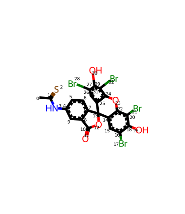 CC(=S)Nc1ccc2c(c1)C(=O)OC21c2cc(Br)c(O)c(Br)c2Oc2c1cc(Br)c(O)c2Br